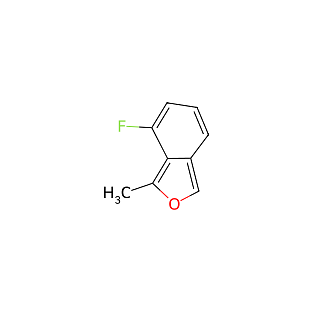 Cc1occ2cccc(F)c12